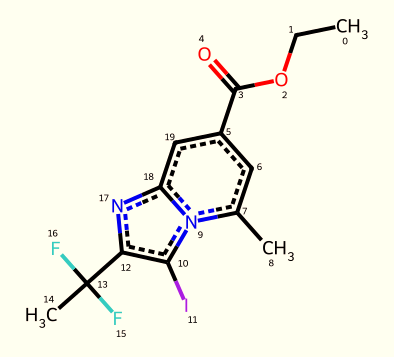 CCOC(=O)c1cc(C)n2c(I)c(C(C)(F)F)nc2c1